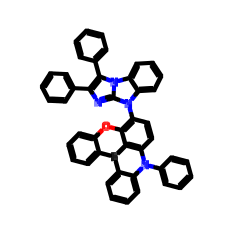 c1ccc(-c2nc3n(-c4ccc5c6c4Oc4ccccc4B6c4ccccc4N5c4ccccc4)c4ccccc4n3c2-c2ccccc2)cc1